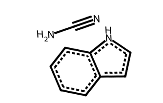 N#CN.c1ccc2[nH]ccc2c1